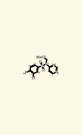 COCN(c1ccncn1)S(=O)(=O)c1ccc(F)c(Cl)c1